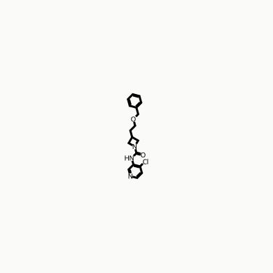 O=C(Nc1cnccc1Cl)N1CC(CCOCc2ccccc2)C1